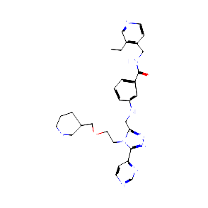 CCc1cnccc1CNC(=O)c1cccc(NCc2nnc(-c3ccncn3)n2CCOCC2CCCNC2)c1